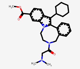 COC(=O)c1ccc2c(C3CCCCC3)c3n(c2c1)CCN(C(=O)CN(C)C)Cc1ccccc1-3